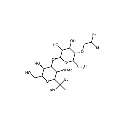 CCCC(C)(CC)C1OC(CO)[C@@H](O)C(O[C@@H]2OC(C(=O)O)[C@@H](OCC(CC)CC)C(O)C2O)C1NC(C)=O